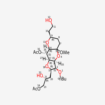 CCCCO[C@@H]1[C@@H]2OC3(OC)CC[C@H](CCO)O[C@@H]3[C@@H](OC(C)=O)[C@@H]2O[C@@H]1C[C@@H](O)COC(C)=O